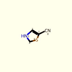 N#CC1=[C]NCS1